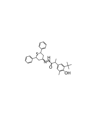 Cc1cc(C(C)C(=O)NN=C2CC(c3ccccc3)SC(c3ccccc3)C2)cc(C(C)(C)C)c1O